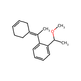 COC(C)c1ccccc1/C(C)=C1/CC=CCC1